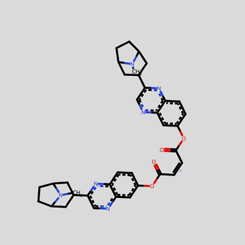 CN1C2CCC1CC(c1cnc3cc(OC(=O)/C=C\C(=O)Oc4ccc5nc(C6CC7CCC(C6)N7C)cnc5c4)ccc3n1)C2